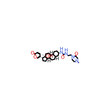 CN1CCN(CCNC(=O)N[C@H]2CC[C@@]3(C)[C@H](CC[C@@H]4[C@@H]3CC[C@]3(C)[C@@H](c5ccc(=O)oc5)CC[C@]43O)C2)C(=O)C1